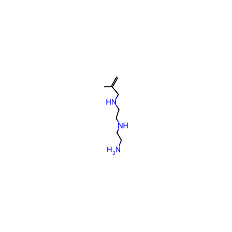 C=C(C)CNCCNCCN